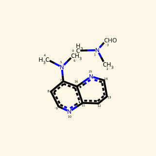 CN(C)C=O.CN(C)c1ccnc2cccnc12